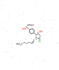 CCCCC[C@@H](O)c1ccc(C2[C@H](O)C[C@@H](Cl)[C@@H]2C/C=C\CCCC(=O)O)cc1